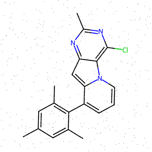 Cc1cc(C)c(-c2cccn3c2cc2nc(C)nc(Cl)c23)c(C)c1